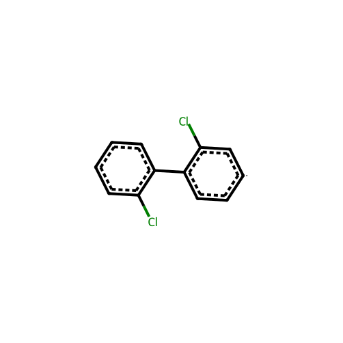 Clc1c[c]ccc1-c1ccccc1Cl